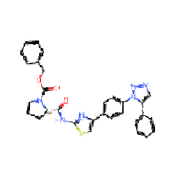 O=C(Nc1nc(-c2ccc(-n3nncc3-c3ccccc3)cc2)cs1)[C@@H]1CCCN1C(=O)OCc1ccccc1